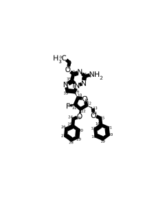 CCOc1nc(N)nn2c([C@@H]3O[C@H](COCc4ccccc4)[C@@H](OCc4ccccc4)[C@H]3F)cnc12